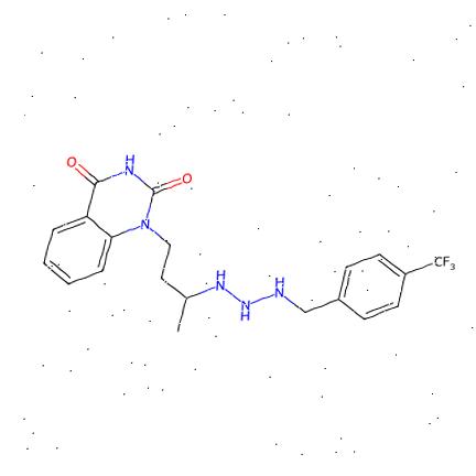 CC(CCn1c(=O)[nH]c(=O)c2ccccc21)NNNCc1ccc(C(F)(F)F)cc1